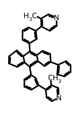 Cc1cnccc1-c1cccc(-c2c3ccccc3c(-c3cccc(-c4ccncc4C)c3)c3cc(-c4ccccc4)ccc23)c1